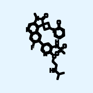 CC(C)NCCOc1ncc(-c2cc3c4c(cnc3cc2F)N(C)C(=O)C42CC(n3ccccc3=O)C2)cc1NS(C)(=O)=O